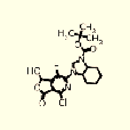 CC(C)(C)OC(=O)N1CN(c2nc(Cl)c3c(c2F)C(O)OC3=O)C2CCCCC21